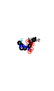 CNC(=O)c1c(-c2ccc(C)cc2)oc2cc(N(C)S(C)(=O)=O)c(-c3ccc4c(n3)-c3cc5c(F)cccc5n3CCC4)cc12